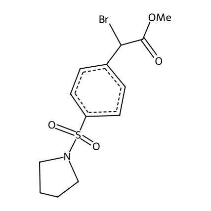 COC(=O)C(Br)c1ccc(S(=O)(=O)N2CCCC2)cc1